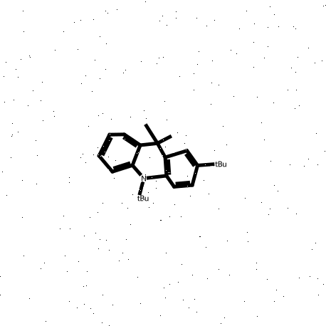 CC(C)(C)c1ccc2c(c1)C(C)(C)c1ccccc1N2C(C)(C)C